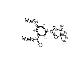 CNC(=O)c1cc(SC)cc(B2OC(C)(C)C(C)(C)O2)c1